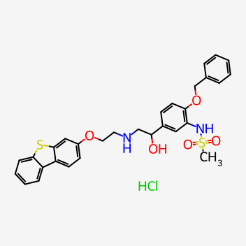 CS(=O)(=O)Nc1cc(C(O)CNCCOc2ccc3c(c2)sc2ccccc23)ccc1OCc1ccccc1.Cl